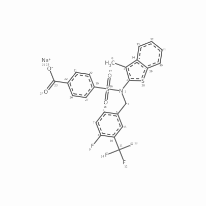 Cc1c(N(Cc2ccc(F)c(C(F)(F)F)c2)S(=O)(=O)c2ccc(C(=O)[O-])cc2)sc2ccccc12.[Na+]